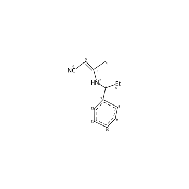 CCC(N/C(C)=C\C#N)c1ccccc1